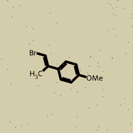 COc1ccc(/C(C)=C/Br)cc1